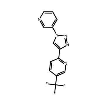 FC(F)(F)c1ccc(-c2cn(-c3cccnc3)nn2)nc1